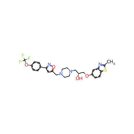 Cc1nc2cc(OC[C@@H](O)CN3CCN(Cc4cc(-c5ccc(OC(F)(F)F)cc5)no4)CC3)ccc2s1